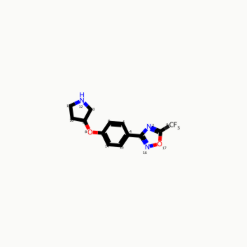 FC(F)(F)c1nc(-c2ccc(OC3CCNC3)cc2)no1